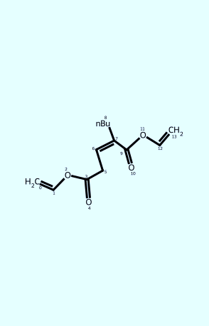 C=COC(=O)CC=C(CCCC)C(=O)OC=C